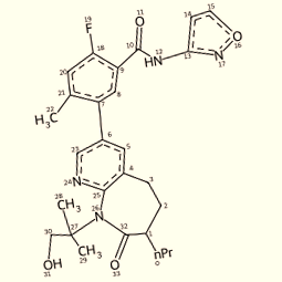 CCCC1CCc2cc(-c3cc(C(=O)Nc4ccon4)c(F)cc3C)cnc2N(C(C)(C)CO)C1=O